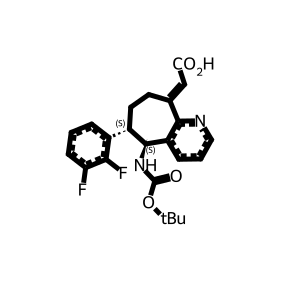 CC(C)(C)OC(=O)N[C@@H]1c2cccnc2C(=CC(=O)O)CC[C@H]1c1cccc(F)c1F